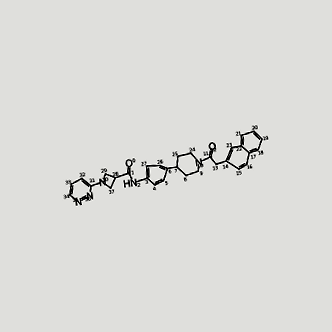 O=C(Nc1ccc(C2CCN(C(=O)Cc3ccc4ccccc4c3)CC2)cc1)C1CN(c2cccnn2)C1